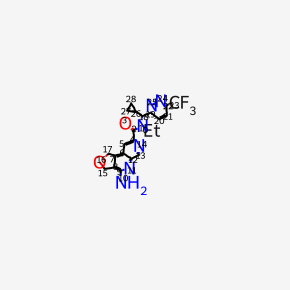 CCN(C(=O)c1cc2c3c(c(N)nc2cn1)COC3)[C@@H](c1ccc(C(F)(F)F)nn1)C1CC1